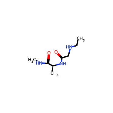 CCNCC(=O)N[C@@H](C)C(=O)NC